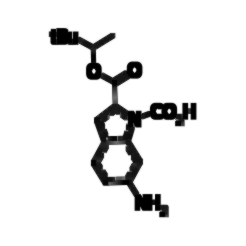 CC(OC(=O)c1cc2ccc(N)cc2n1C(=O)O)C(C)(C)C